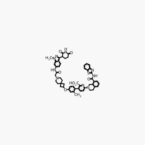 Cc1cc(OC2CC3(CCN(CC(=O)Nc4ccc5c(C6CCC(=O)NC6=O)nn(C)c5c4)CC3)C2)ccc1-c1ccc(N2CCc3cccc(C(=O)Nc4nc5ccccc5s4)c3C2)nc1C(=O)O